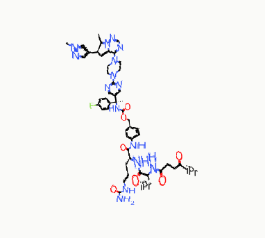 CC(C)C(=O)CCC(=O)N[C@H](C(=O)N[C@@H](CCCNC(N)=O)C(=O)Nc1ccc(COC(=O)N[C@@](C)(c2ccc(F)cc2)c2cnc(N3CCN(C4=NC=NN5C4=CC(c4cnn(C)c4)C5C)CC3)nc2)cc1)C(C)C